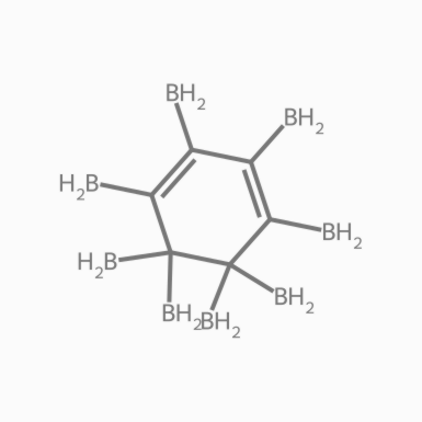 BC1=C(B)C(B)(B)C(B)(B)C(B)=C1B